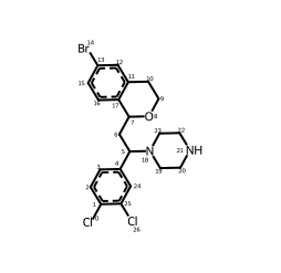 Clc1ccc(C(CC2OCCc3cc(Br)ccc32)N2CCNCC2)cc1Cl